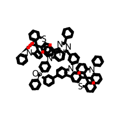 O=P(c1ccccc1)(c1ccc(-n2c3ccccc3c3cc4c(cc32)C2(c3ccccc3S4)c3ccccc3N(c3ccccc3)c3ccccc32)cc1)c1cccc(-c2ccc3c(c2)c2cc4c(cc2n3-c2cccc(-c3nc(-c5ccccc5)nc(-c5ccccc5)n3)c2)C2(c3ccccc3S4)c3ccccc3N(c3ccccc3)c3ccccc32)c1